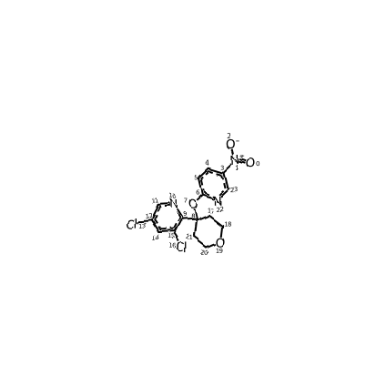 O=[N+]([O-])c1ccc(OC2(c3ncc(Cl)cc3Cl)CCOCC2)nc1